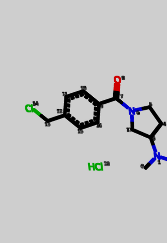 CN(C)C1CCN(C(=O)c2ccc(CCl)cc2)C1.Cl